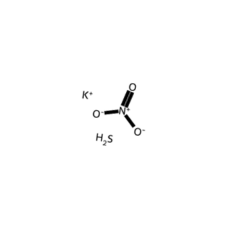 O=[N+]([O-])[O-].S.[K+]